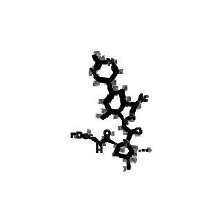 CCCCCCCCCCNC(=O)[C@@H]1C[C@H](C)[C@@H](C)N1C(=O)Cn1nc(C(C)=O)c2cc(-c3cnc(C)nc3)cc(C)c21